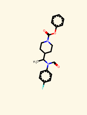 CC(C1CCN(C(=O)Oc2ccccc2)CC1)N(C=O)c1ccc(F)cc1